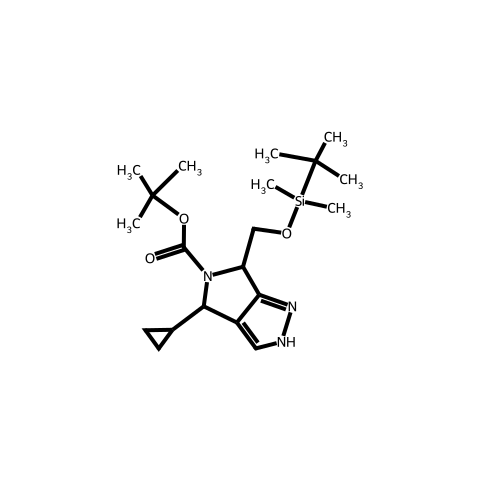 CC(C)(C)OC(=O)N1C(CO[Si](C)(C)C(C)(C)C)c2n[nH]cc2C1C1CC1